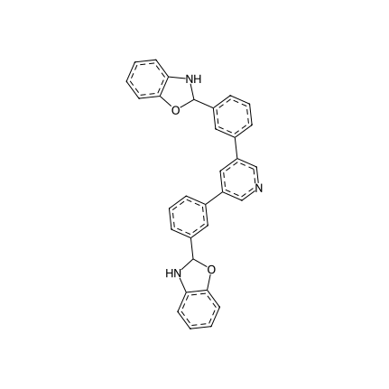 c1cc(-c2cncc(-c3cccc(C4Nc5ccccc5O4)c3)c2)cc(C2Nc3ccccc3O2)c1